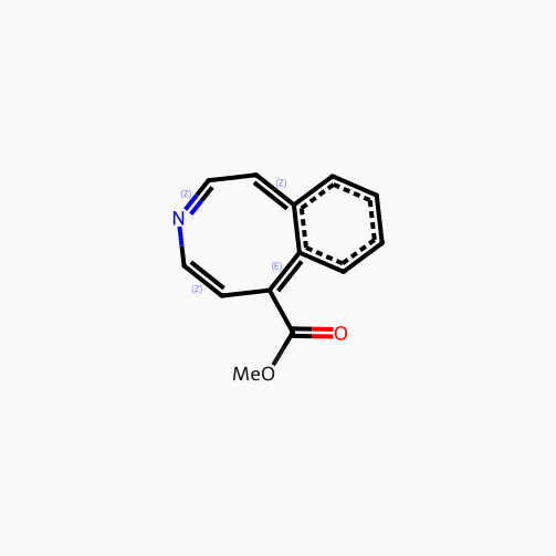 COC(=O)C1=c2\cccc\c2=C\C=N/C=C\1